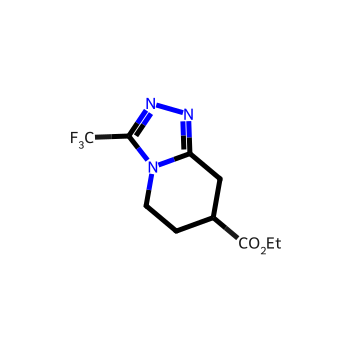 CCOC(=O)C1CCn2c(nnc2C(F)(F)F)C1